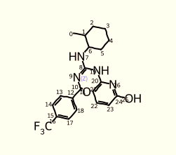 CC1CCCCC1N/C(=N/C(=O)c1ccc(C(F)(F)F)cc1)Nc1cccc(O)n1